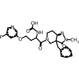 CN1N=C2CCN(C(=O)C(CCOc3cncc(F)c3)NC(=O)O)CC2(Cc2ccccc2)C1=O